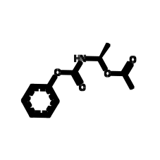 CC(=O)O[C@H](C)NC(=O)Oc1ccccc1